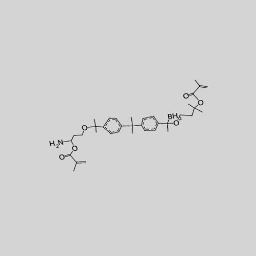 BC(C)(OCCC(C)(C)OC(=O)C(=C)C)c1ccc(C(C)(C)c2ccc(C(C)(C)OCCC(N)OC(=O)C(=C)C)cc2)cc1